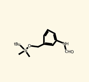 CC(C)(C)[Si](C)(C)OCc1cccc(NC=O)c1